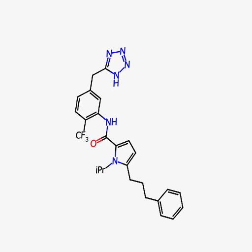 CC(C)n1c(CCCc2ccccc2)ccc1C(=O)Nc1cc(Cc2nnn[nH]2)ccc1C(F)(F)F